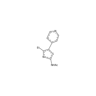 CCc1nc(NC(C)=O)sc1-c1ccncc1